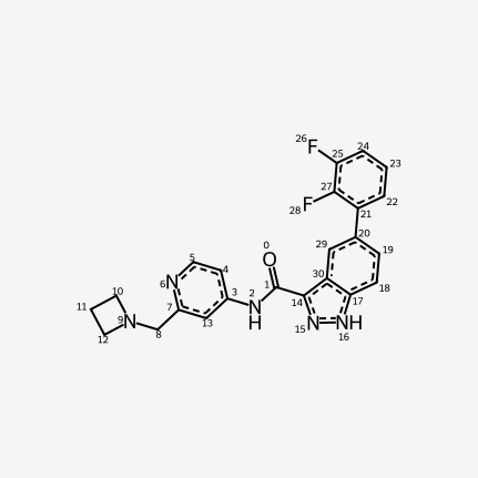 O=C(Nc1ccnc(CN2CCC2)c1)c1n[nH]c2ccc(-c3cccc(F)c3F)cc12